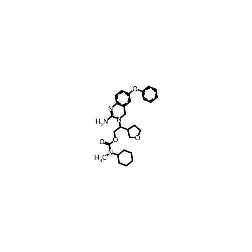 CN(C(=O)OCC(C1CCOC1)N1Cc2cc(Oc3ccccc3)ccc2N=C1N)C1CCCCC1